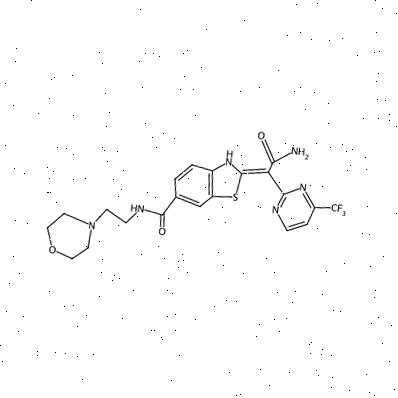 NC(=O)/C(=C1\Nc2ccc(C(=O)NCCN3CCOCC3)cc2S1)c1nccc(C(F)(F)F)n1